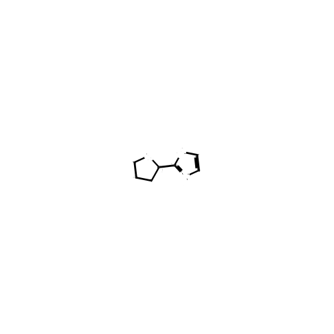 c1csc(C2CCCS2)n1